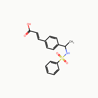 CC(NS(=O)(=O)c1ccccc1)c1ccc(C=CC(=O)O)cc1